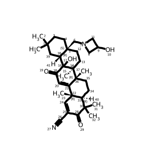 CC1(C)CC[C@]2(CN3CC(O)C3)CC[C@]3(C)C(O)(C(=O)C=C4[C@@]5(C)C=C(C#N)C(=O)C(C)(C)[C@@H]5CC[C@]43C)[C@@H]2C1